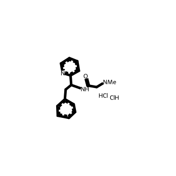 CNCC(=O)NC(Cc1ccccc1)c1ccccn1.Cl.Cl